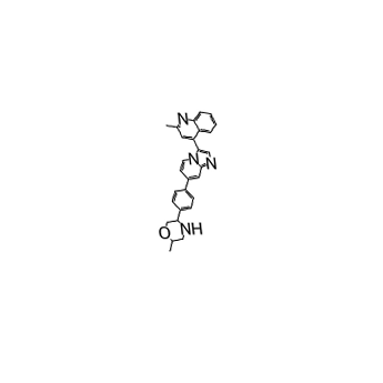 Cc1cc(-c2cnc3cc(-c4ccc(C5COC(C)CN5)cc4)ccn23)c2ccccc2n1